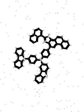 c1ccc2c(-c3nc4c(-c5ccc(N(c6ccc(-n7c8ccccc8c8ccccc87)cc6)c6ccc7oc8ccccc8c7c6)cc5)cc5c6ccccc6ccc5c4s3)cccc2c1